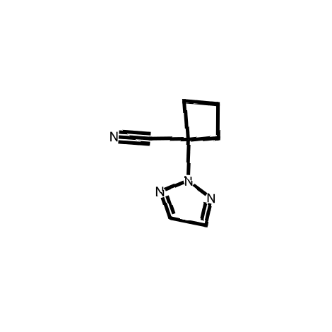 N#CC1(n2nccn2)CCC1